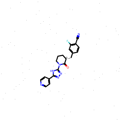 N#Cc1ccc(C[C@H]2CCCN(c3nnc(-c4ccncc4)[nH]3)C2=O)cc1F